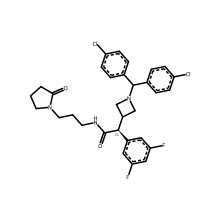 O=C(NCCCN1CCCC1=O)[C@H](c1cc(F)cc(F)c1)C1CN(C(c2ccc(Cl)cc2)c2ccc(Cl)cc2)C1